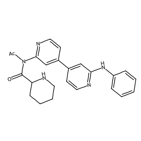 CC(=O)N(C(=O)C1CCCCN1)c1cc(-c2ccnc(Nc3ccccc3)c2)ccn1